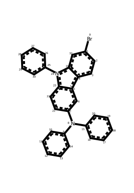 Brc1ccc2c3cc(N(c4ccccc4)c4ccccc4)ccc3n(-c3ccccc3)c2c1